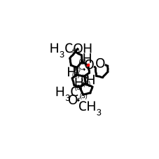 CC(=O)[C@H]1CC[C@H]2[C@@H]3CC[C@H]4C[C@](C)(O)CC[C@]4(COC4CCCCO4)[C@H]3CC[C@]12C